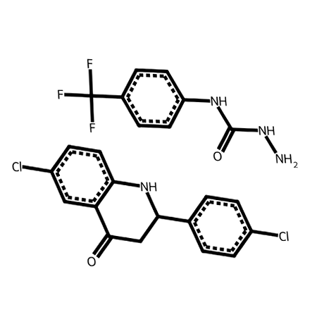 NNC(=O)Nc1ccc(C(F)(F)F)cc1.O=C1CC(c2ccc(Cl)cc2)Nc2ccc(Cl)cc21